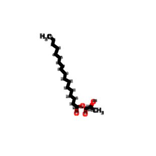 CCCCCCCCCCCCCCCCCC(=O)OC(=O)C(C)=O